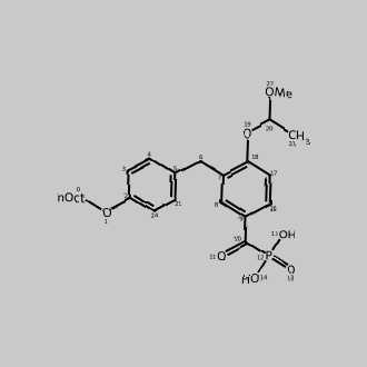 CCCCCCCCOc1ccc(Cc2cc(C(=O)P(=O)(O)O)ccc2OC(C)OC)cc1